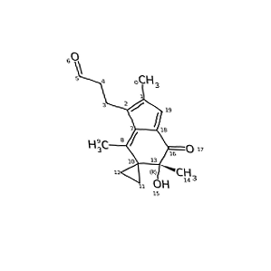 CC1=C(CCC=O)C2=C(C)C3(CC3)[C@@](C)(O)C(=O)C2=C1